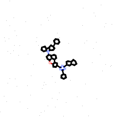 c1ccc(-c2ccc3c(c2)c2ccccc2n3-c2ccc3c4c(cccc24)-c2cc(-c4nc(-c5ccccc5)nc(-c5ccc6ccccc6c5)n4)ccc2O3)cc1